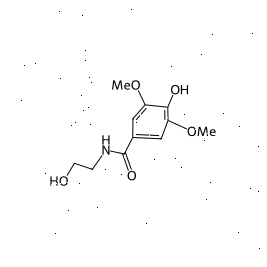 COc1cc(C(=O)NCCO)cc(OC)c1O